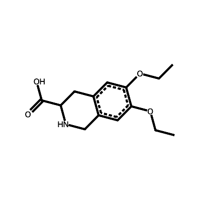 CCOc1cc2c(cc1OCC)CC(C(=O)O)NC2